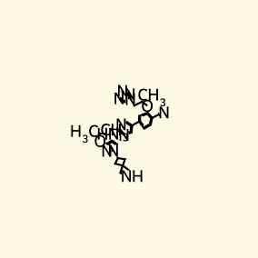 CC(C)Oc1nn(C2CC3(CNC3)C2)cc1Nc1ncc(-c2ccc(C#N)c(OC(C)Cn3cnnn3)c2)cn1